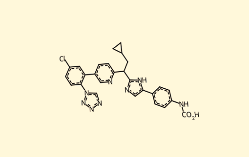 O=C(O)Nc1ccc(-c2cnc(C(CC3CC3)c3ccc(-c4cc(Cl)ccc4-n4cnnn4)cn3)[nH]2)cc1